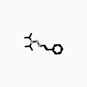 CC(C)N(/N=N/C=C/c1ccccc1)C(C)C